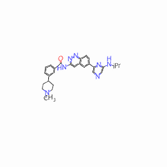 CC(C)Nc1cncc(-c2ccc3nnc(NC(=O)c4cccc(C5CCN(C)CC5)c4)cc3c2)n1